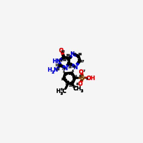 Cc1cccc(S(=O)(=O)O)c1C.Nc1nc2nccnc2c(=O)[nH]1